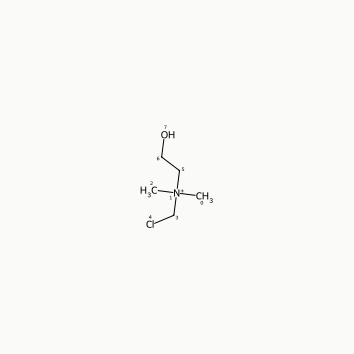 C[N+](C)(CCl)CCO